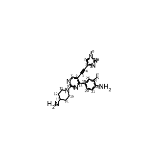 Cn1cc(C#Cc2cnc(N3CCC(N)CC3)nc2-c2ccc(N)c(F)c2)nn1